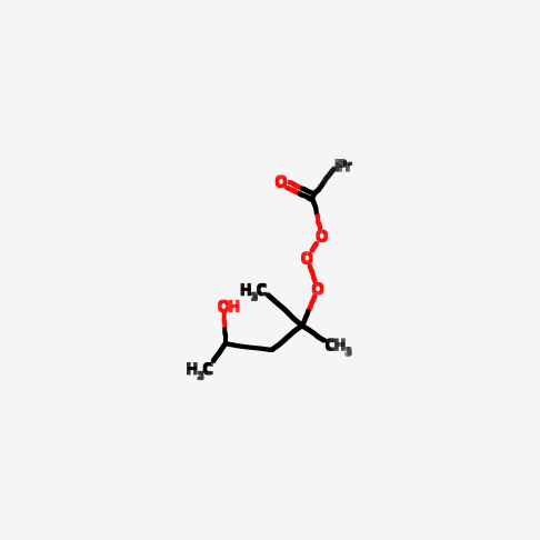 CC(O)CC(C)(C)OOOC(=O)C(C)C